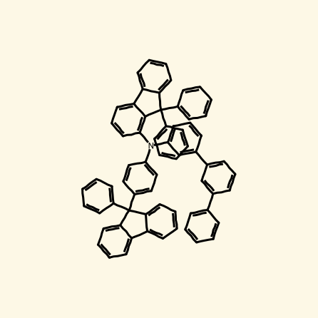 c1ccc(-c2cccc(-c3cccc(N(c4ccc(C5(c6ccccc6)c6ccccc6-c6ccccc65)cc4)c4cccc5c4C(c4ccccc4)(c4ccccc4)c4ccccc4-5)c3)c2)cc1